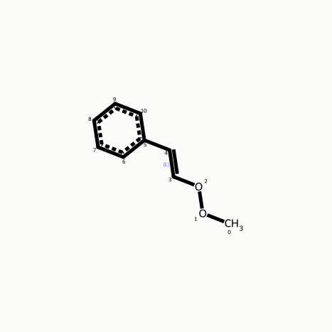 COO/C=C/c1ccccc1